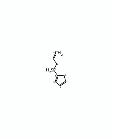 C=CC[SiH2]C1=CC=CC1